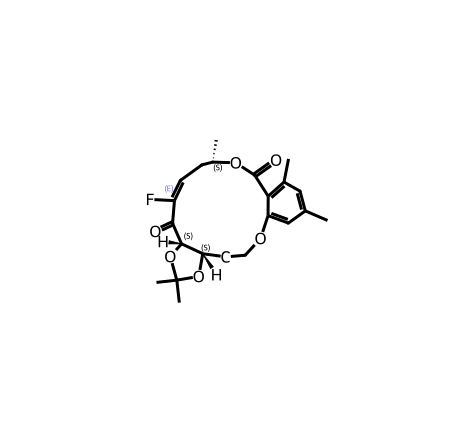 Cc1cc(C)c2c(c1)OCC[C@@H]1OC(C)(C)O[C@@H]1C(=O)/C(F)=C\C[C@H](C)OC2=O